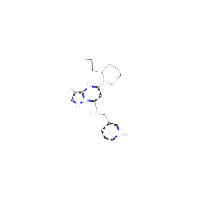 CCc1cnn2c(NCc3ccc[n+]([O-])c3)cc(N3CCCC[C@@H]3CCO)nc12